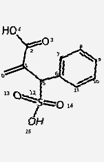 C=C(C(=O)O)C(c1ccccc1)S(=O)(=O)O